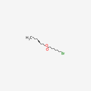 CCCCC#CCCCOC(=O)CCCCCCCBr